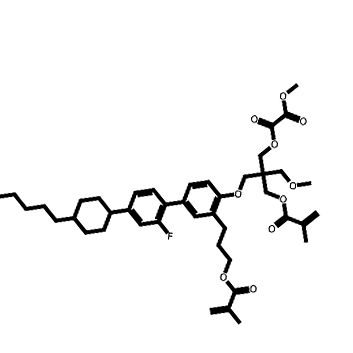 C=C(C)C(=O)OCCCc1cc(-c2ccc(C3CCC(CCCCC)CC3)cc2F)ccc1OCC(COC)(COC(=O)C(=C)C)COC(=O)C(=O)OC